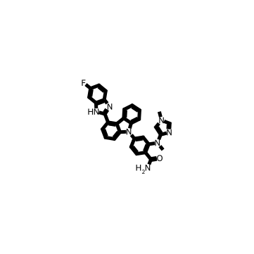 CN(c1cn(C)cn1)c1cc(-n2c3ccccc3c3c(-c4nc5ccc(F)cc5[nH]4)cccc32)ccc1C(N)=O